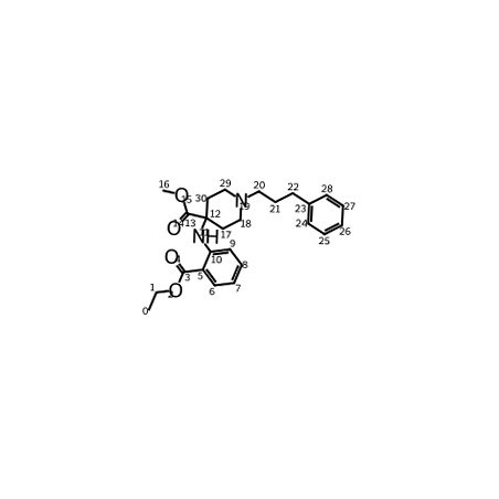 CCOC(=O)c1ccccc1NC1(C(=O)OC)CCN(CCCc2ccccc2)CC1